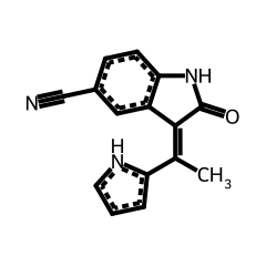 C/C(=C1\C(=O)Nc2ccc(C#N)cc21)c1ccc[nH]1